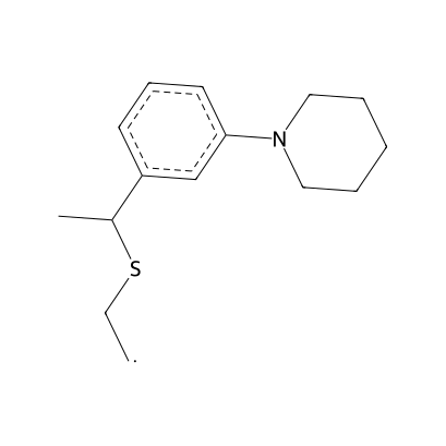 [CH2]CSC(C)c1cccc(N2CCCCC2)c1